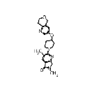 Cc1cc2c(nc1N1CCC(Oc3cnc4c(c3)COCC4)CC1)CN(C)C2=O